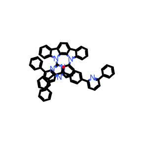 c1ccc(-c2cc(-c3ccccc3)cc(-c3cccc(-n4c5ccccc5c5ccc6c7ccccc7n(-c7nc(-c8ccccc8)nc(-c8ccc(-c9cccc(-c%10ccccc%10)n9)cc8)n7)c6c54)c3)c2)cc1